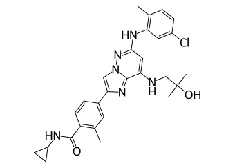 Cc1ccc(Cl)cc1Nc1cc(NCC(C)(C)O)c2nc(-c3ccc(C(=O)NC4CC4)c(C)c3)cn2n1